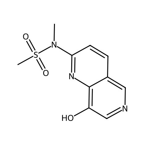 CN(c1ccc2cncc(O)c2n1)S(C)(=O)=O